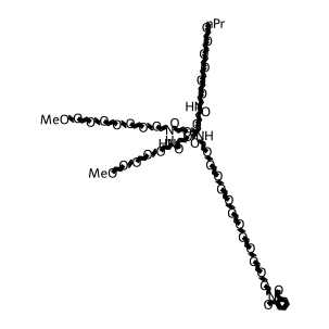 CCCOCCOCCOCCOCCOCCOCCNC(=O)CCOCC(COCCC(=O)NCCOCCOCCOCCOCCOC)(COCCC(=O)NCCOCCOCCOCCOCCOCCOCCOCCOC)NC(=O)CCOCCOCCOCCOCCOCCOCCOCCOCCOCCOCCOCCOCCN1C(=O)c2ccccc2C1=O